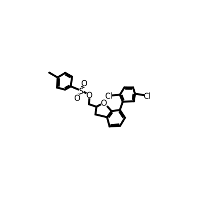 Cc1ccc(S(=O)(=O)OCC2Cc3cccc(-c4cc(Cl)ccc4Cl)c3O2)cc1